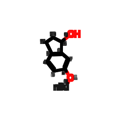 CCCCOc1ccc2c(c1)C(O)CC2